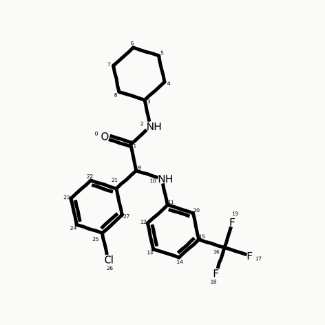 O=C(NC1CCCCC1)C(Nc1cccc(C(F)(F)F)c1)c1cccc(Cl)c1